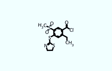 CCc1cc(SC2=NCCS2)c(S(C)(=O)=O)cc1C(=O)Cl